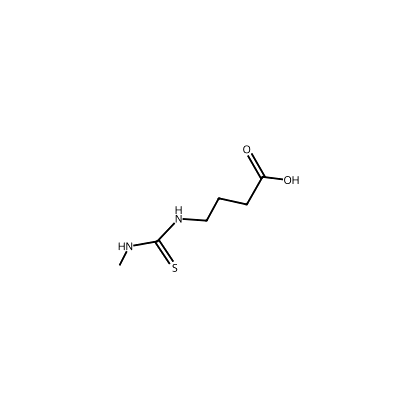 CNC(=S)NCCCC(=O)O